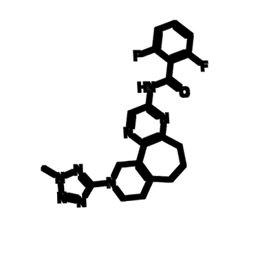 Cn1nnc(N2CCC3=C(C2)c2ncc(NC(=O)c4c(F)cccc4F)nc2CCC3)n1